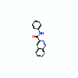 O=C(Nc1ccccc1)c1cc2ccccc2cn1